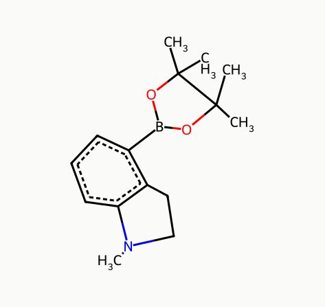 CN1CCc2c(B3OC(C)(C)C(C)(C)O3)cccc21